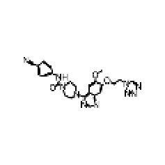 COc1cc2c(N3CCN(C(=O)Nc4ccc(C#N)cc4)CC3)ncnc2cc1OCCn1cnnn1